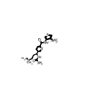 CN(C)CCC(NC(N)=O)c1ccc(C(=O)Nc2cscc2N)nc1